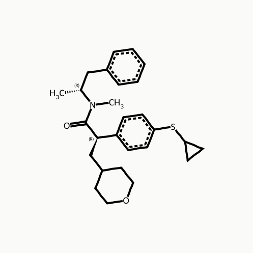 C[C@H](Cc1ccccc1)N(C)C(=O)[C@H](CC1CCOCC1)c1ccc(SC2CC2)cc1